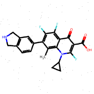 Cc1c(-c2ccc3c(c2)CNC3)c(F)c(F)c2c(=O)c(C(=O)O)c(F)n(C3CC3)c12